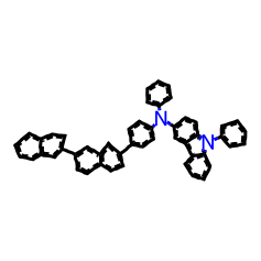 c1ccc(N(c2ccc(-c3ccc4ccc(-c5ccc6ccccc6c5)cc4c3)cc2)c2ccc3c(c2)c2ccccc2n3-c2ccccc2)cc1